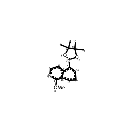 COc1nccc2c(B3OC(C)(C)C(C)(C)O3)cccc12